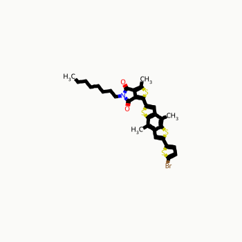 CCCCCCCCN1C(=O)c2c(C)sc(-c3cc4c(C)c5sc(-c6ccc(Br)s6)cc5c(C)c4s3)c2C1=O